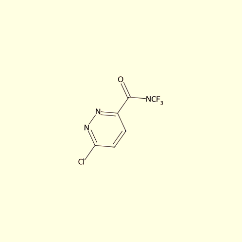 O=C(NC(F)(F)F)c1ccc(Cl)nn1